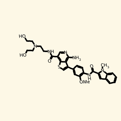 COc1cc(-c2csc3c(C(=O)NCCN(CCO)CCO)cnc(N)c23)ccc1NC(=O)c1cc2ccccc2n1C